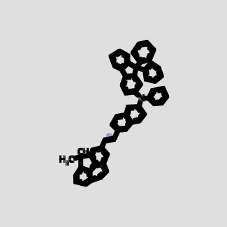 CC1(C)c2cccc3ccc4cc(/C=C/c5ccc6cc(N(c7ccccc7)c7ccc8c(c7)C(c7ccccc7)(c7ccccc7)c7ccccc7-8)ccc6c5)cc1c4c23